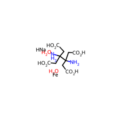 NC(CC(=O)O)(CC(=O)O)C(N)(CC(=O)O)CC(=O)O.O.O.[Fe].[NaH]